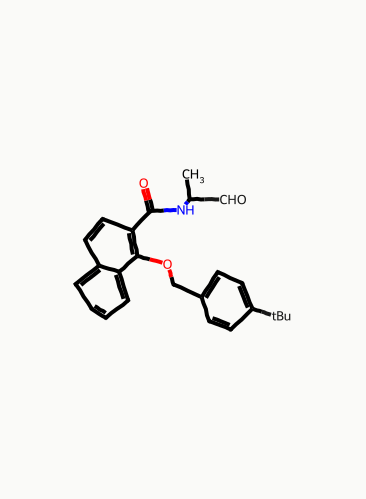 CC(C=O)NC(=O)c1ccc2ccccc2c1OCc1ccc(C(C)(C)C)cc1